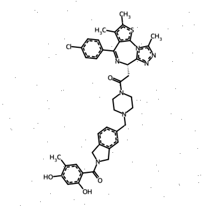 Cc1cc(C(=O)N2Cc3ccc(CN4CCN(C(=O)C[C@@H]5N=C(c6ccc(Cl)cc6)c6c(sc(C)c6C)-n6c(C)nnc65)CC4)cc3C2)c(O)cc1O